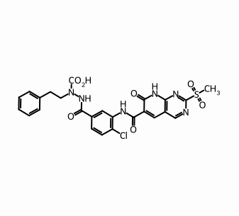 CS(=O)(=O)c1ncc2cc(C(=O)Nc3cc(C(=O)NN(CCc4ccccc4)C(=O)O)ccc3Cl)c(=O)[nH]c2n1